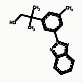 Cc1cc(-n2nc3ccccc3n2)cc(C(C)(C)CO)c1